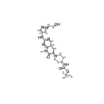 Cn1c(=O)c(N2CCC(NC(=O)OC(C)(C)C)CC2)cc2cnc(Nc3cnn(CCO)c3)nc21